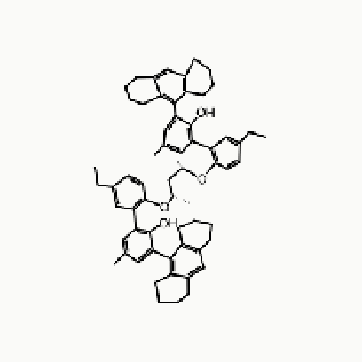 CCc1ccc(O[C@@H](C)C[C@H](C)Oc2ccc(CC)cc2-c2cc(C)cc(-c3c4c(cc5c3CCCC5)CCCC4)c2O)c(-c2cc(C)cc(-c3c4c(cc5c3CCCC5)CCCC4)c2O)c1